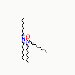 CCCCCC/C=C/N(/C=C/CCCCCC)C(=O)N(/C=C/CCCCCC)/C=C/CCCCCC